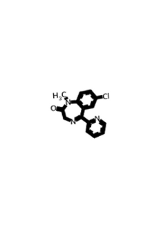 CN1C(=O)CN=C(c2ccccn2)c2cc(Cl)ccc21